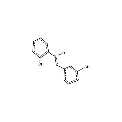 [O-][N+](=Cc1cccc(O)c1)c1ccccc1O